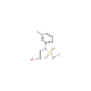 [CH2]c1cccc(N(CCO)S(=O)(=O)CCl)c1